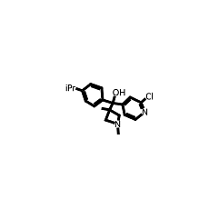 CC(C)c1ccc(C(O)(c2ccnc(Cl)c2)C2(C)CN(C)C2)cc1